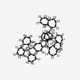 c1ccc(-c2cccc3sc4cccc(N(c5ccc(-c6cccc7ccccc67)cc5)c5ccc([Si](c6ccccc6)(c6ccccc6)c6ccccc6)cc5)c4c23)cc1